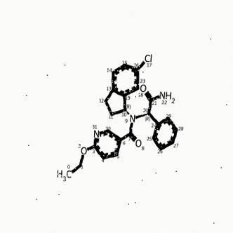 CCOc1ccc(C(=O)N([C@@H]2CCc3ccc(Cl)cc32)[C@@H](C(N)=O)c2ccccc2)cn1